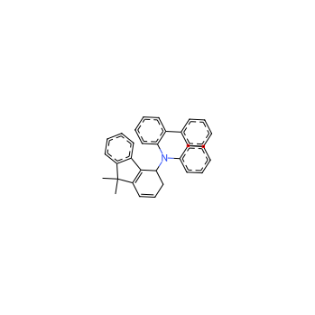 CC1(C)C2=C(c3ccccc31)C(N(c1ccccc1)c1ccccc1-c1ccccc1)CC=C2